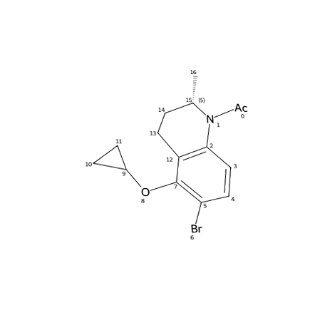 CC(=O)N1c2ccc(Br)c(OC3CC3)c2CC[C@@H]1C